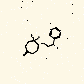 C=C1CC[C@@H](CC[C@H](C)c2ccccc2)C(F)(F)CC1